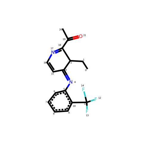 CCC1C(=Nc2ccccc2C(F)(F)F)C=CN=C1C(C)=O